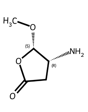 CO[C@H]1OC(=O)C[C@H]1N